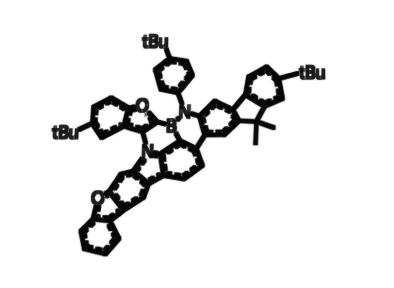 CC(C)(C)c1ccc(N2B3c4oc5ccc(C(C)(C)C)cc5c4-n4c5cc6oc7ccccc7c6cc5c5ccc(c3c54)-c3cc4c(cc32)-c2ccc(C(C)(C)C)cc2C4(C)C)cc1